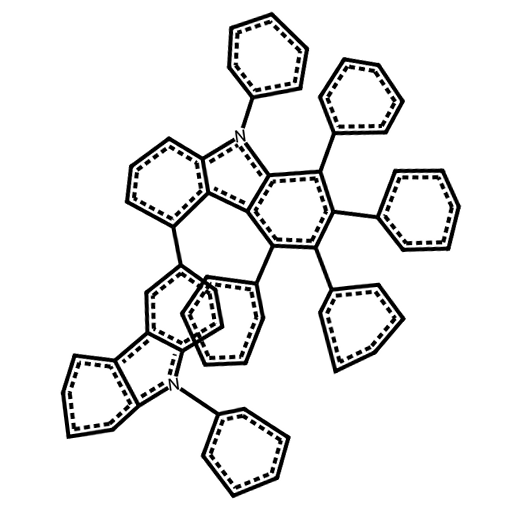 c1ccc(-c2c(-c3ccccc3)c(-c3ccccc3)c3c(c2-c2ccccc2)c2c(-c4ccc5c(c4)c4ccccc4n5-c4ccccc4)cccc2n3-c2ccccc2)cc1